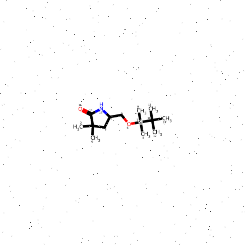 CC1(C)CC(CO[Si](C)(C)C(C)(C)C)NC1=O